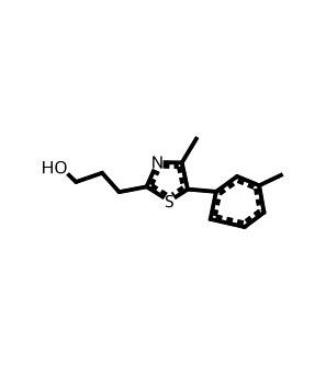 Cc1cccc(-c2sc(CCCO)nc2C)c1